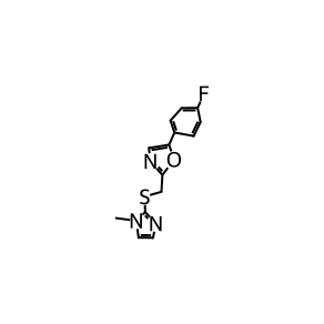 Cn1ccnc1SCc1ncc(-c2ccc(F)cc2)o1